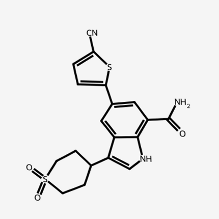 N#Cc1ccc(-c2cc(C(N)=O)c3[nH]cc(C4CCS(=O)(=O)CC4)c3c2)s1